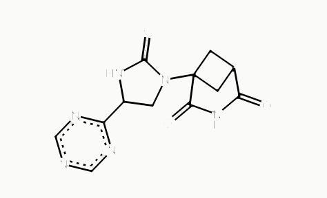 O=C1NC(=O)C2(N3CC(c4ncncn4)NC3=O)CC1C2